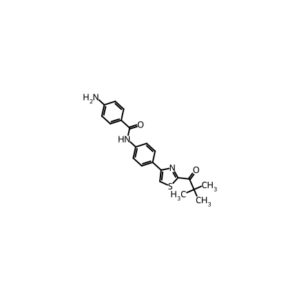 CC(C)(C)C(=O)c1nc(-c2ccc(NC(=O)c3ccc(N)cc3)cc2)cs1